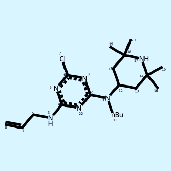 C=CCNc1nc(Cl)nc(N(CCCC)C2CC(C)(C)NC(C)(C)C2)n1